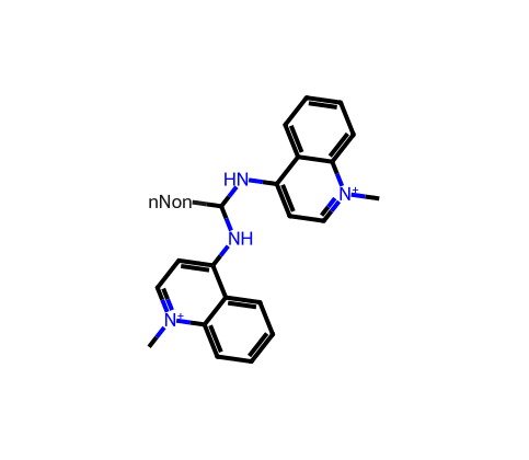 CCCCCCCCCC(Nc1cc[n+](C)c2ccccc12)Nc1cc[n+](C)c2ccccc12